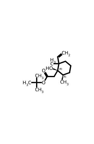 C=CC1(C)CCC[C@@H](C)[C@]1(O)CC(=O)OC(C)(C)C